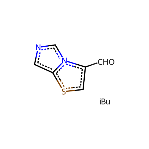 CC[C@H](C)c1sc2cncn2c1C=O